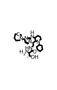 C[C@@H](O)[C@H](N)C(=O)NCCC1C(Nc2nccc(N3CCCCCC3)n2)CCCN1C1CCCCC1